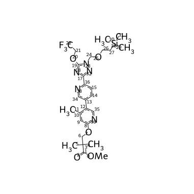 COC(=O)C(C)(C)COc1cc(C)c(-c2ccc(-c3nc(OCC(F)(F)F)n(COCC[Si](C)(C)C)n3)nc2)cn1